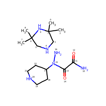 CC1(C)CNCC(C)(C)N1.NC(=O)C(=O)N(N)C1CCNCC1